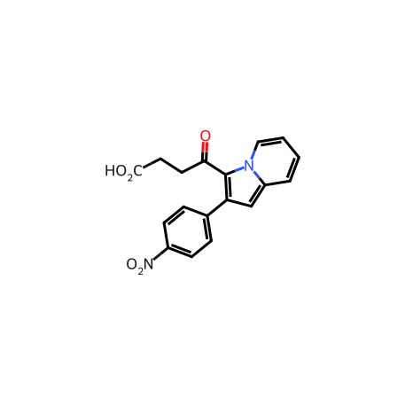 O=C(O)CCC(=O)c1c(-c2ccc([N+](=O)[O-])cc2)cc2ccccn12